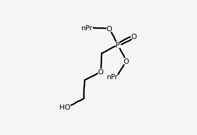 CCCOP(=O)(COCCO)OCCC